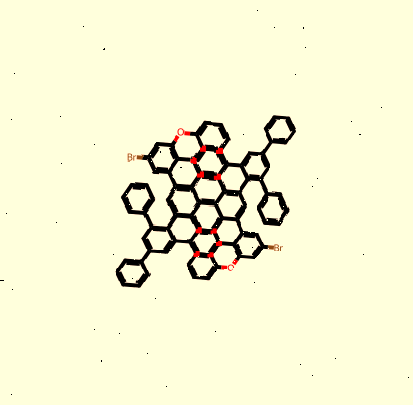 Brc1cc2c3c(c1)-c1cc(-c4c(-c5ccccc5)cc(-c5ccccc5)cc4-c4ccccc4)c4cc5c6c(cc(-c7c(-c8ccccc8)cc(-c8ccccc8)cc7-c7ccccc7)c7cc(c1c4c76)B3c1ccccc1O2)-c1cc(Br)cc2c1B5c1ccccc1O2